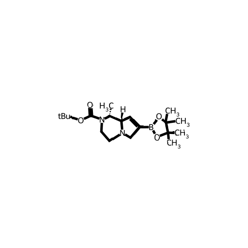 C[C@@H]1[C@@H]2C=C(B3OC(C)(C)C(C)(C)O3)CN2CCN1C(=O)OC(C)(C)C